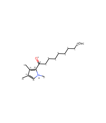 CCCCCCCCCCCCCCCCCC(=O)c1c(C)c(C)cn1C